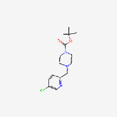 CC(C)(C)OC(=O)N1CCN(Cc2ccc(Cl)cn2)CC1